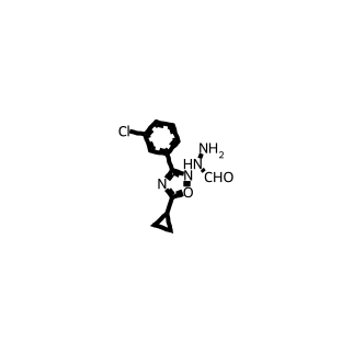 Clc1cccc(-c2noc(C3CC3)n2)c1.NNC=O